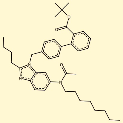 CCCCCCCCN(C(C)=O)c1ccc2nc(CCCC)n(Cc3ccc(-c4ccccc4C(=O)OC(C)(C)C)cc3)c2c1